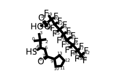 CC(C)(C)C(S)CC(=O)C1CCCC1.O=S(=O)(O)C(F)(F)C(F)(F)C(F)(F)C(F)(F)C(F)(F)C(F)(F)C(F)(F)C(F)(F)F